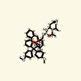 COc1ccc(C(c2ccccc2)(c2ccc(OC)cc2)c2cccc3c4c5ccccc5c(c23)[C@H](CO)[C@H]4COP(O)NC(CC#N)N(C(C)C)C(C)C)cc1